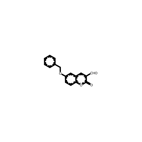 O=Cc1cc2cc(OCc3ccccc3)ccc2oc1=O